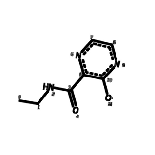 CCNC(=O)c1nccnc1[O]